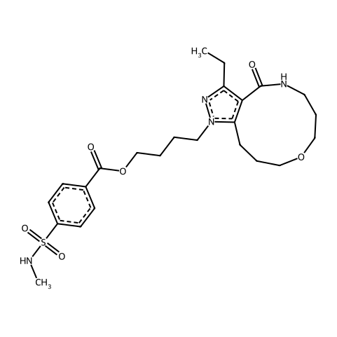 CCc1nn(CCCCOC(=O)c2ccc(S(=O)(=O)NC)cc2)c2c1C(=O)NCCCOCCC2